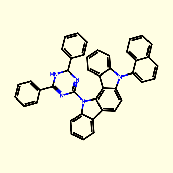 c1ccc(C2=NC(n3c4ccccc4c4ccc5c(c6ccccc6n5-c5cccc6ccccc56)c43)=NC(c3ccccc3)N2)cc1